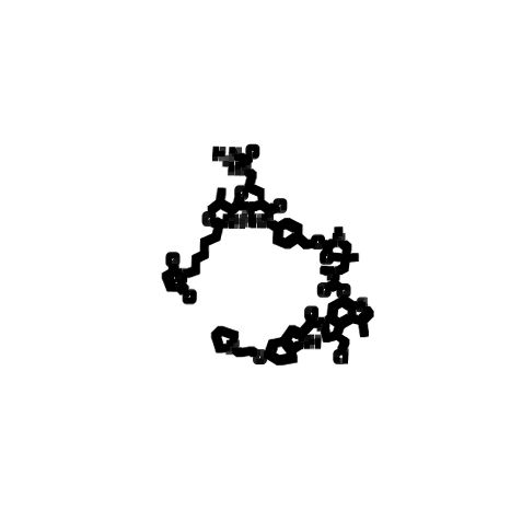 Cc1csc2c(OC(=O)N(C)CC(C)(C)CN(C)C(=O)OCc3ccc(NC(=O)[C@H](CCCNC(N)=O)NC(=O)[C@@H](NC(=O)CCCCCN4C(=O)C=CC4=O)C(C)C)cc3)cc3c(c12)[C@@H](CCl)CN3C(=O)c1cc2cc(OCCN3CCCC3)ccc2[nH]1